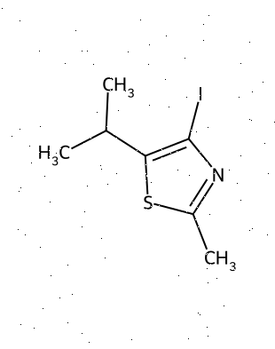 Cc1nc(I)c(C(C)C)s1